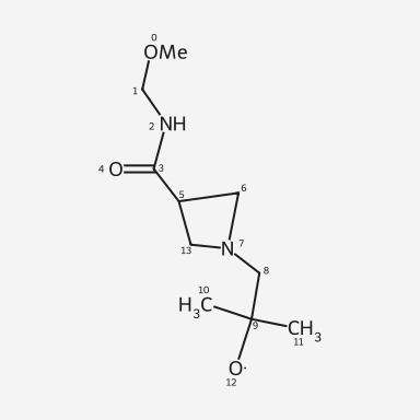 COCNC(=O)C1CN(CC(C)(C)[O])C1